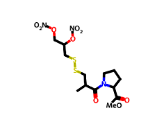 COC(=O)C1CCCN1C(=O)C(C)CSSCC(CO[N+](=O)[O-])O[N+](=O)[O-]